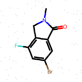 CN1Cc2c(F)cc(Br)cc2C1=O